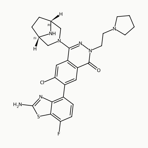 Nc1nc2c(-c3cc4c(=O)n(CCN5CCCC5)nc(N5C[C@H]6CC[C@@H](C5)N6)c4cc3Cl)ccc(F)c2s1